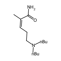 CCCCN(CCC=C(C)C(N)=O)CCCC